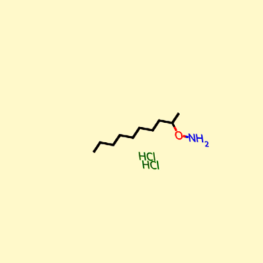 CCCCCCCCC(C)ON.Cl.Cl